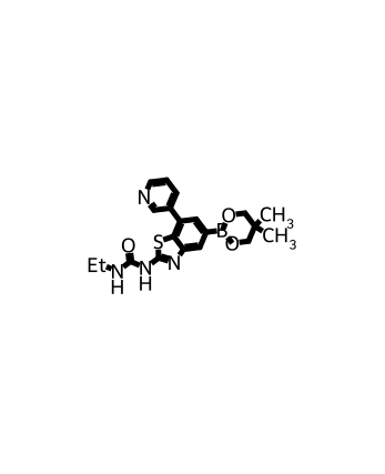 CCNC(=O)Nc1nc2cc(B3OCC(C)(C)CO3)cc(-c3cccnc3)c2s1